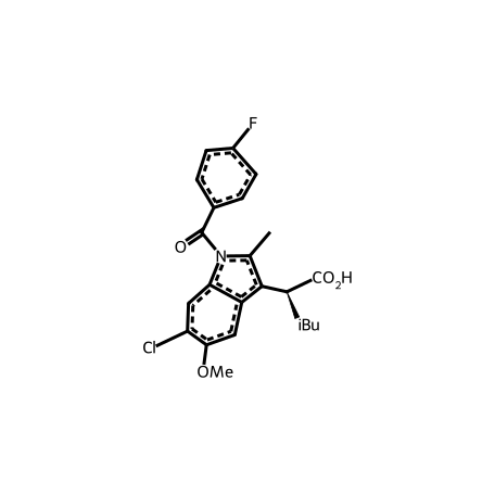 CCC(C)[C@H](C(=O)O)c1c(C)n(C(=O)c2ccc(F)cc2)c2cc(Cl)c(OC)cc12